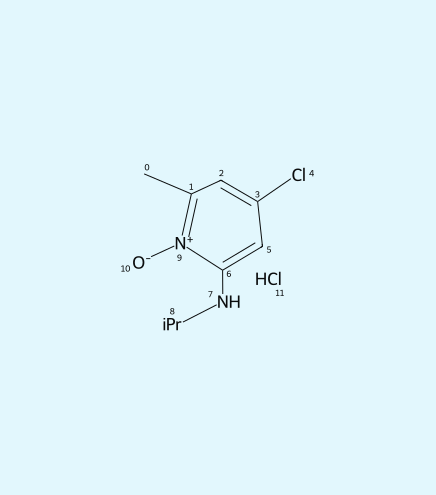 Cc1cc(Cl)cc(NC(C)C)[n+]1[O-].Cl